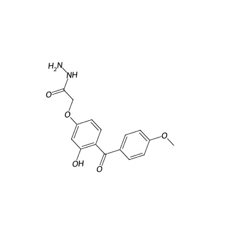 COc1ccc(C(=O)c2ccc(OCC(=O)NN)cc2O)cc1